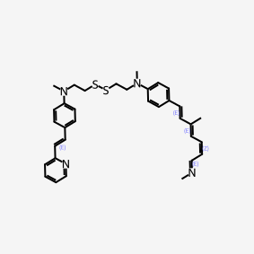 C/N=C/C=C\C=C(C)\C=C\c1ccc(N(C)CCSSCCN(C)c2ccc(/C=C/c3ccccn3)cc2)cc1